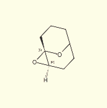 C1CC2CC[C@H]3O[C@]3(C1)O2